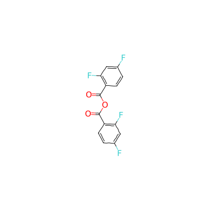 O=C(OC(=O)c1ccc(F)cc1F)c1ccc(F)cc1F